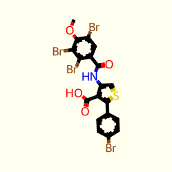 COc1c(Br)cc(C(=O)Nc2csc(-c3ccc(Br)cc3)c2C(=O)O)c(Br)c1Br